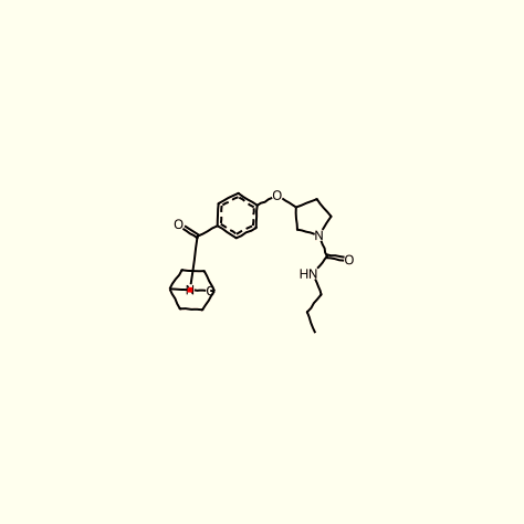 CCCNC(=O)N1CCC(Oc2ccc(C(=O)N3CC4CCC(CC4)C3)cc2)C1